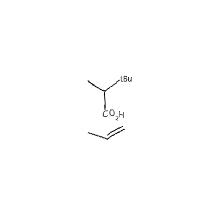 C=CC.CC(C(=O)O)C(C)(C)C